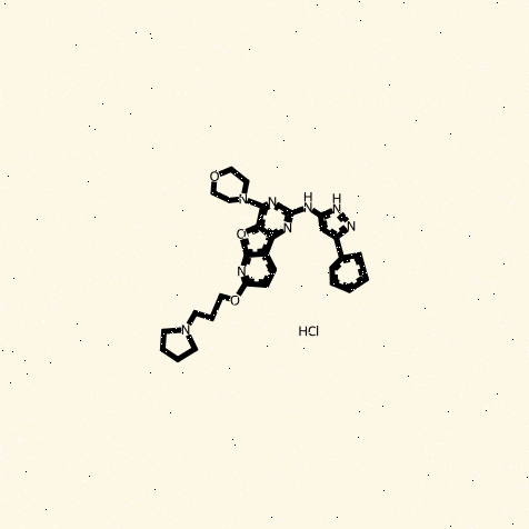 Cl.c1ccc(-c2cc(Nc3nc(N4CCOCC4)c4oc5nc(OCCCN6CCCC6)ccc5c4n3)[nH]n2)cc1